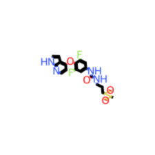 CS(=O)(=O)CCCNC(=O)Nc1cc(F)c(Oc2ccnc3[nH]ccc23)c(F)c1